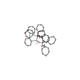 Cc1ccccc1-c1ccccc1/C(=C/[PH](c1ccccc1)(c1ccccc1)c1ccccc1)[PH](c1ccccc1)(c1ccccc1)c1ccccc1